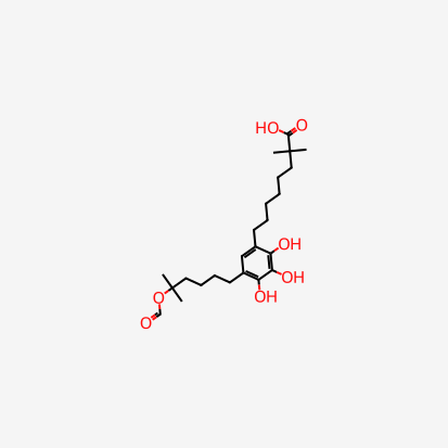 CC(C)(CCCCc1cc(CCCCCCC(C)(C)C(=O)O)c(O)c(O)c1O)OC=O